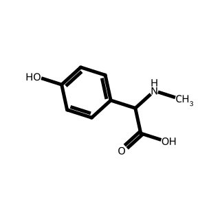 CNC(C(=O)O)c1ccc(O)cc1